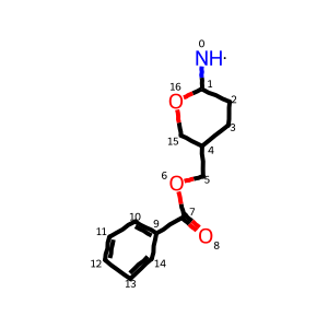 [NH]C1CCC(COC(=O)c2ccccc2)CO1